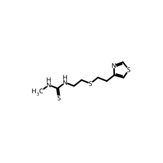 CNC(=S)NCCSCCc1cscn1